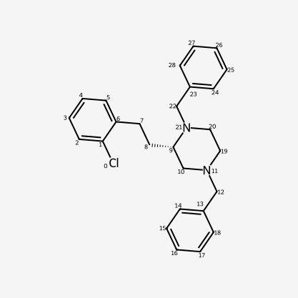 Clc1ccccc1CC[C@H]1CN(Cc2ccccc2)CCN1Cc1ccccc1